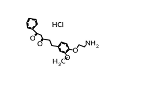 COc1cc(CCC(=O)CC(=O)c2ccccc2)ccc1OCCN.Cl